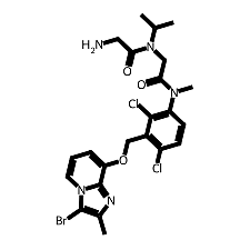 Cc1nc2c(OCc3c(Cl)ccc(N(C)C(=O)CN(C(=O)CN)C(C)C)c3Cl)cccn2c1Br